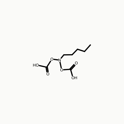 CCCCCN(OC(=O)O)OC(=O)O